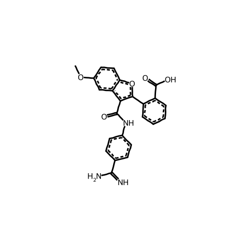 COc1ccc2oc(-c3ccccc3C(=O)O)c(C(=O)Nc3ccc(C(=N)N)cc3)c2c1